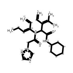 C=CC(=C(C)C)C(C(=O)NC1CCCCC1)N(C(=O)Cn1cncn1)/C(C=C)=C/CC